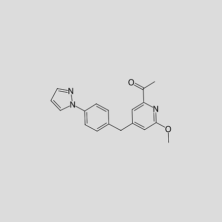 COc1cc(Cc2ccc(-n3cccn3)cc2)cc(C(C)=O)n1